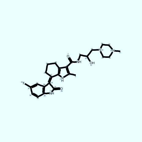 Cc1[nH]c2c(c1C(=O)NCC(O)CN1CCN(C)CC1)CCC/C2=C1/C(=O)Nc2ccc(F)cc21